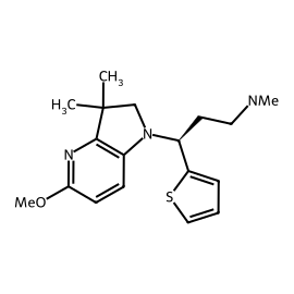 CNCC[C@@H](c1cccs1)N1CC(C)(C)c2nc(OC)ccc21